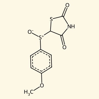 COc1ccc([S+]([O-])C2SC(=O)NC2=O)cc1